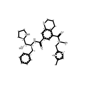 Cc1csc(CN(C(=O)c2cc(C(=O)N[C@@H](Cc3ccccc3)[C@H](O)[C@H]3CCCN3)cc3c2CCCO3)C(C)C)n1